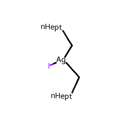 CCCCCCC[CH2][Ag]([I])[CH2]CCCCCCC